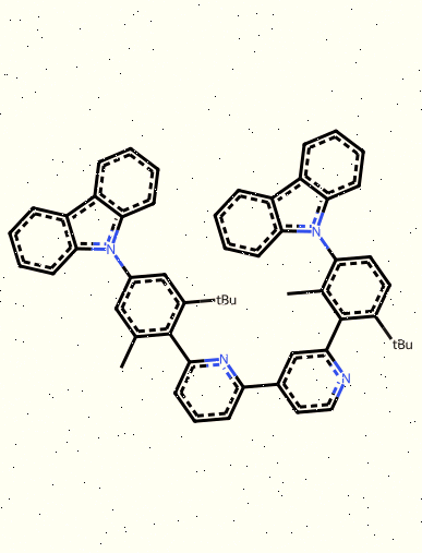 Cc1cc(-n2c3ccccc3c3ccccc32)cc(C(C)(C)C)c1-c1cccc(-c2ccnc(-c3c(C(C)(C)C)ccc(-n4c5ccccc5c5ccccc54)c3C)c2)n1